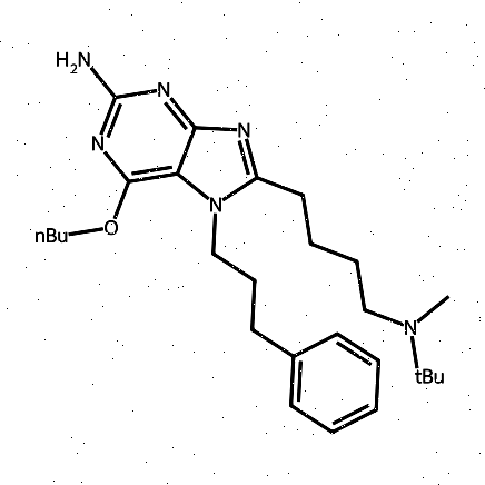 CCCCOc1nc(N)nc2nc(CCCCN(C)C(C)(C)C)n(CCCc3ccccc3)c12